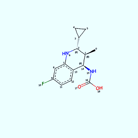 C[C@@H]1[C@@H](C2CC2)Nc2cc(F)ccc2[C@@H]1NC(=O)O